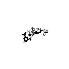 CC(=O)Nc1ccc(S(=O)(=O)NC(=O)Nc2c(C(C)C)cc(F)cc2C(C)C)nn1